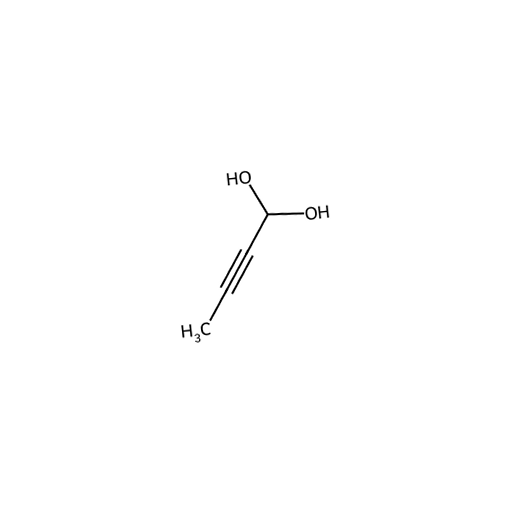 CC#CC(O)O